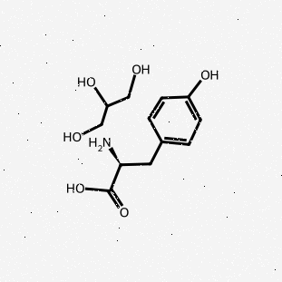 N[C@@H](Cc1ccc(O)cc1)C(=O)O.OCC(O)CO